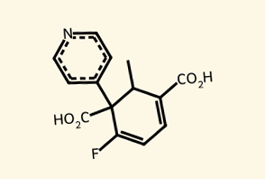 CC1C(C(=O)O)=CC=C(F)C1(C(=O)O)c1ccncc1